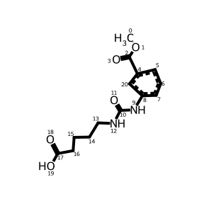 COC(=O)c1cccc(NC(=O)NCCCCC(=O)O)c1